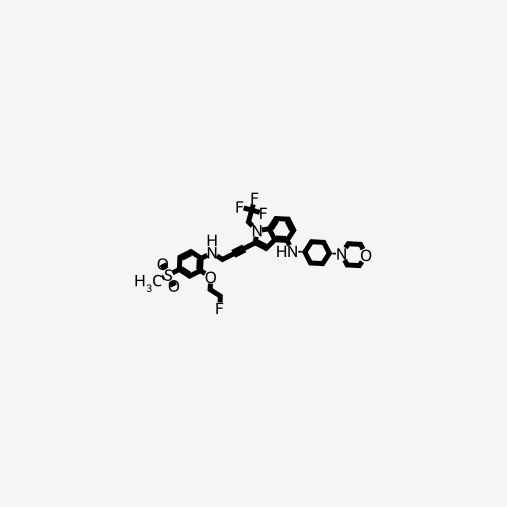 CS(=O)(=O)c1ccc(NCC#Cc2cc3c(N[C@H]4CC[C@@H](N5CCOCC5)CC4)cccc3n2CC(F)(F)F)c(OCCF)c1